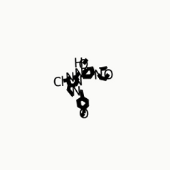 COc1ccc(CN2CCc3c(Cl)nc(Nc4ccc(N5CCOCC5)cc4OC)nc32)cc1